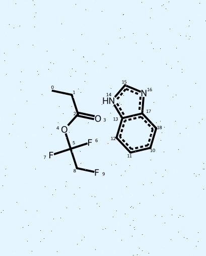 CCC(=O)OC(F)(F)CF.c1ccc2[nH]cnc2c1